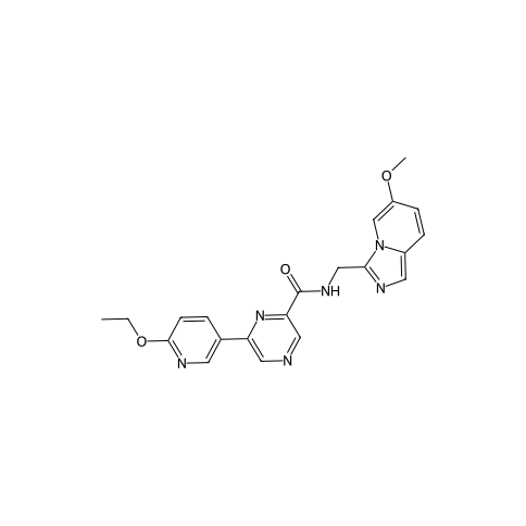 CCOc1ccc(-c2cncc(C(=O)NCc3ncc4ccc(OC)cn34)n2)cn1